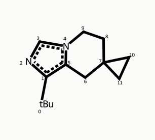 CC(C)(C)c1ncn2c1CC1(CC2)CC1